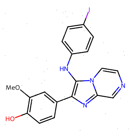 COc1cc(-c2nc3cnccn3c2Nc2ccc(I)cc2)ccc1O